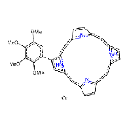 COc1cc(-c2cc3cc4nc(cc5ccc(cc6nc(cc2[nH]3)C=C6)[nH]5)C=C4)c(OC)c(OC)c1OC.[Co]